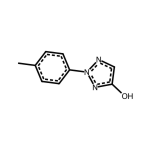 Cc1ccc(-n2ncc(O)n2)cc1